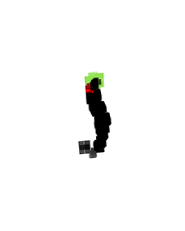 CCCCCCC1CCC(C2CCC(c3ccc(OC(F)(F)C(F)(F)F)cc3)CC2)CC1